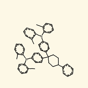 Cc1ccccc1N(c1ccc(C2(c3ccc(N(c4ccccc4C)c4ccccc4C)cc3)CCC(c3ccccc3)CC2)cc1)c1ccccc1C